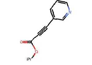 CC(C)OC(=O)C#Cc1cccnc1